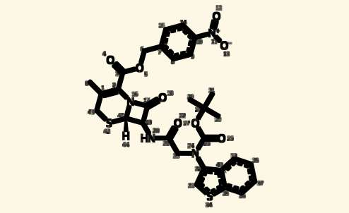 CC1=C(C(=O)OCc2ccc([N+](=O)[O-])cc2)N2C(=O)C(NC(=O)CN(C(=O)OC(C)(C)C)c3csc4ccccc34)[C@@H]2SC1